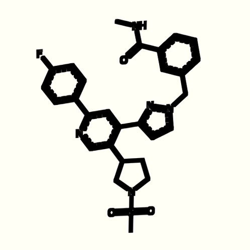 CNC(=O)c1cccc(Cn2ccc(-c3cc(-c4ccc(F)cc4)ncc3C3CCN(S(C)(=O)=O)C3)n2)c1